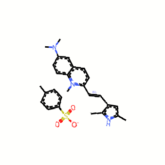 Cc1cc(/C=C/c2ccc3cc(N(C)C)ccc3[n+]2C)c(C)[nH]1.Cc1ccc(S(=O)(=O)[O-])cc1